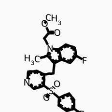 COC(=O)Cn1c(C)c(Cc2ccncc2S(=O)(=O)c2ccc(F)cc2)c2cc(F)ccc21